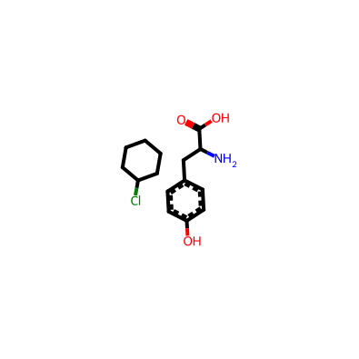 ClC1CCCCC1.NC(Cc1ccc(O)cc1)C(=O)O